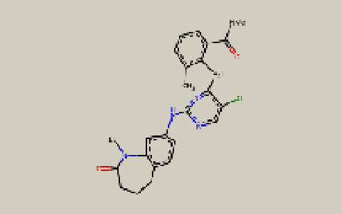 CCN1C(=O)CCCc2ccc(Nc3ncc(Cl)c([AsH]c4c(C)cccc4C(=O)NC)n3)cc21